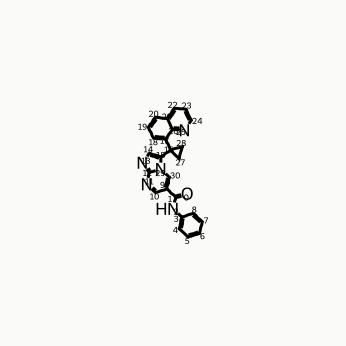 O=C(Nc1ccccc1)c1cnc2ncc(C3(c4cccc5cccnc45)CC3)n2c1